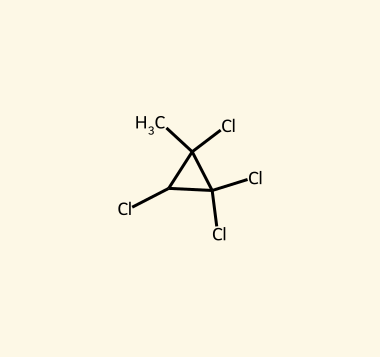 CC1(Cl)C(Cl)C1(Cl)Cl